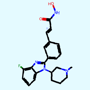 CN1CCCC(n2c(-c3cccc(/C=C/C(=O)NO)c3)nc3c(F)cccc32)C1